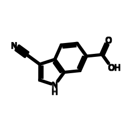 N#Cc1c[nH]c2cc(C(=O)O)ccc12